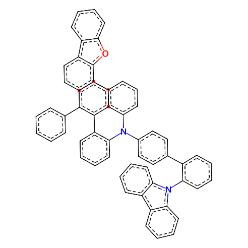 c1ccc(-c2ccccc2-c2ccccc2N(c2ccc(-c3ccccc3-n3c4ccccc4c4ccccc43)cc2)c2cccc(-c3cccc4c3oc3ccccc34)c2)cc1